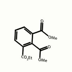 CCOC(=O)c1cccc(C(=O)OC)c1C(=O)OC